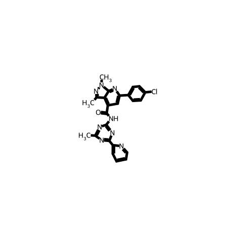 Cc1nc(NC(=O)c2cc(-c3ccc(Cl)cc3)nc3c2c(C)nn3C)nc(-c2ccccn2)n1